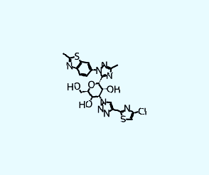 Cc1nc([C@@H]2O[C@H](CO)[C@H](O)[C@H](n3cc(-c4nc(Cl)cs4)nn3)[C@H]2O)n(-c2ccc3nc(C)sc3c2)n1